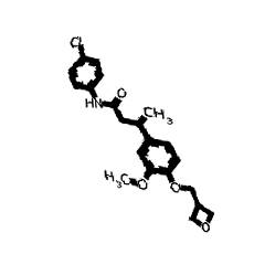 COc1cc(C(C)CC(=O)Nc2ccc(Cl)cc2)ccc1OCC1COC1